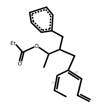 C=C/C=C(\C=C/C)CC(Cc1ccccc1)C(C)OC(=O)CC